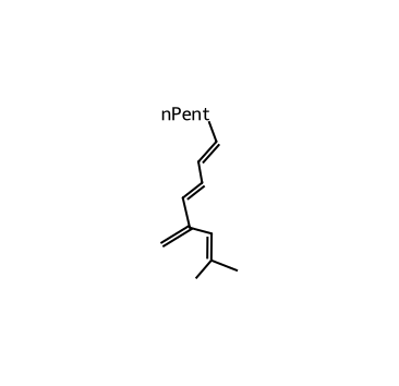 C=C(C=CC=CCCCCC)C=C(C)C